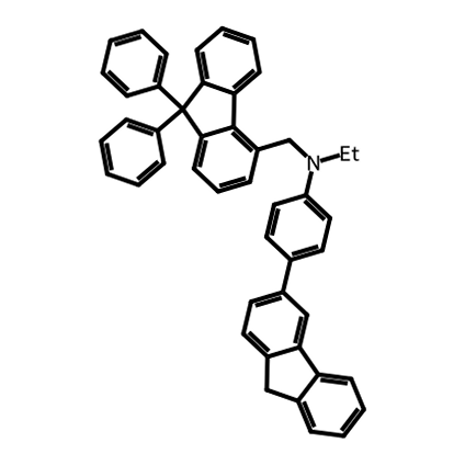 CCN(Cc1cccc2c1-c1ccccc1C2(c1ccccc1)c1ccccc1)c1ccc(-c2ccc3c(c2)-c2ccccc2C3)cc1